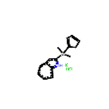 Cl.Cl.[CH3][Zr]([CH3])([C]1=CC=CC1)[c]1cc2ccccc2[nH]1